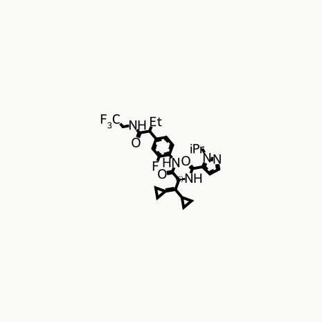 CCC(C(=O)NCC(F)(F)F)c1ccc(NC(=O)[C@@H](NC(=O)c2ccnn2C(C)C)C(=C2CC2)C2CC2)c(F)c1